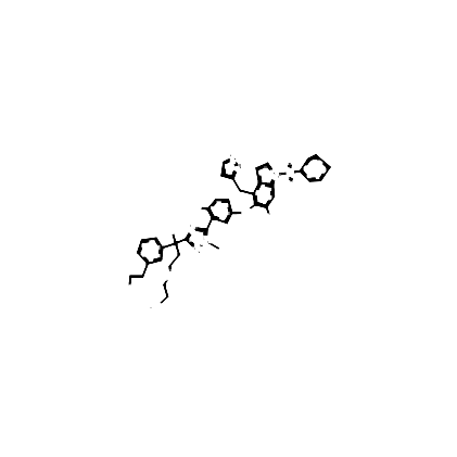 CCOC(=O)CCc1cccc(C(C)(CCSCCO)c2nc(-c3cc(Oc4c(F)cc5c(ccn5S(=O)(=O)c5ccccc5)c4Cc4cc[nH]n4)ccc3F)n(C)n2)c1